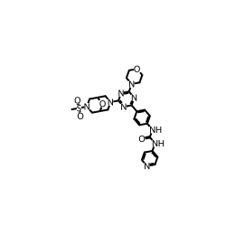 CS(=O)(=O)N1CC2CN(c3nc(-c4ccc(NC(=O)Nc5ccncc5)cc4)nc(N4CCOCC4)n3)CC(C1)O2